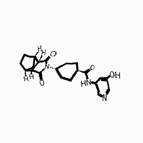 O=C1[C@@H]2[C@@H]3CC[C@@H](C3)[C@@H]2C(=O)N1[C@H]1CC[C@H](C(=O)Nc2cncc(O)c2)CC1